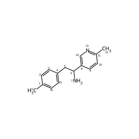 Cc1ccc(CC(N)c2ccc(C)nc2)cc1